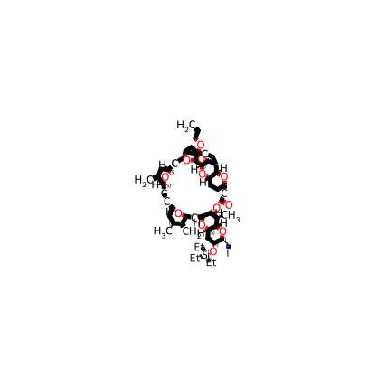 C=CCOC12C[C@@]34CCC5C(O1)[C@@H](O[C@H]1CCC(CC(=O)O[C@@H]6[C@@H](C)[C@@H]7O[C@H](CI)[C@H](O[Si](CC)(CC)CC)C[C@@H]7O[C@H]6CC6O[C@@H](CC[C@@H]7O[C@@H](CC3)CC7=C)C[C@@H](C)C6=C)O[C@H]51)C2O4